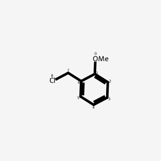 COc1cc[c]cc1CCl